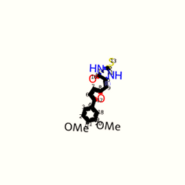 COc1ccc(-c2ccc(/C=C3/NC(=S)NC3=O)o2)cc1OC